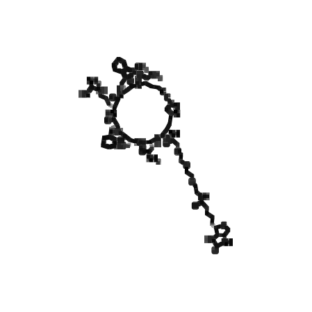 Cn1cc(C[C@H]2NC(=O)[C@@H](CCCNC(=N)N)NC(=O)[C@@H](Cc3ccccc3)NC(=O)[C@@H](CO)NC(=O)[C@@H](CC(N)=O)NC(=O)[C@@H](NC(=O)COCCOCCOCCNC(=O)CCCC[C@@H]3SCC4NC(=O)NC43)Cc3cn(nn3)CCCC[C@@H](C(N)=O)NC2=O)c2ccccc21